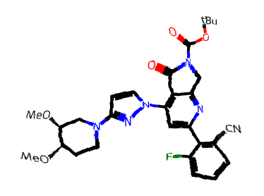 CO[C@H]1CN(c2ccn(-c3cc(-c4c(F)cccc4C#N)nc4c3C(=O)N(C(=O)OC(C)(C)C)C4)n2)CC[C@H]1OC